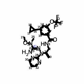 C=C(CNC(=O)c1cc(OC(F)(F)F)cc(C2CC2)c1)N(/N=C(\N)N(C)OC)c1ncccn1